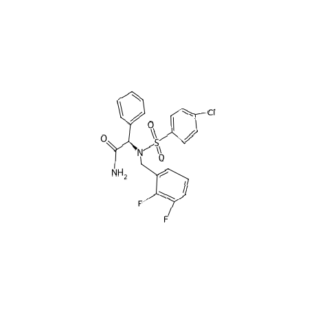 NC(=O)[C@@H](c1ccccc1)N(Cc1cccc(F)c1F)S(=O)(=O)c1ccc(Cl)cc1